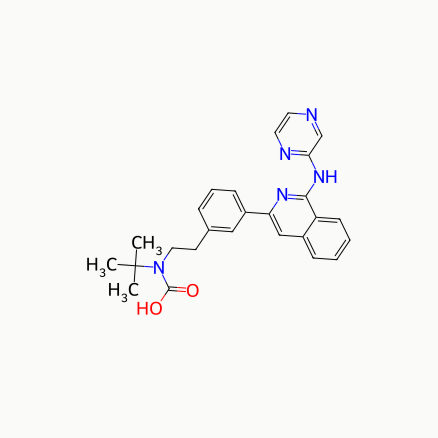 CC(C)(C)N(CCc1cccc(-c2cc3ccccc3c(Nc3cnccn3)n2)c1)C(=O)O